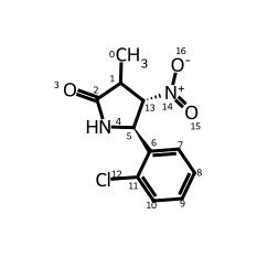 CC1C(=O)N[C@H](c2ccccc2Cl)[C@H]1[N+](=O)[O-]